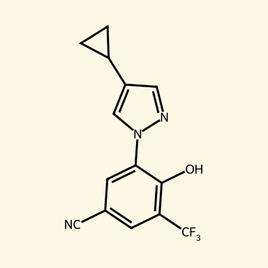 N#Cc1cc(-n2cc(C3CC3)cn2)c(O)c(C(F)(F)F)c1